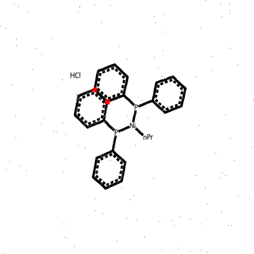 CC[CH2][Ni]([P](c1ccccc1)c1ccccc1)[P](c1ccccc1)c1ccccc1.Cl